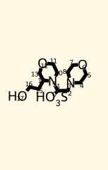 O=S(=O)(O)C(CN1CCOCC1)N1CCOCC1CCO